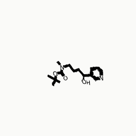 CN(CCC[C@H](O)c1cccnc1)C(=O)OC(C)(C)C